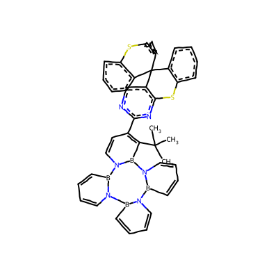 CC(C)(C)C1=C(c2ncc3c(n2)Sc2ccccc2C32c3ccccc3Sc3ccccc32)C=CN2B3C=CC=CN3B3C=CC=CN3B3C=CC=CN3B12